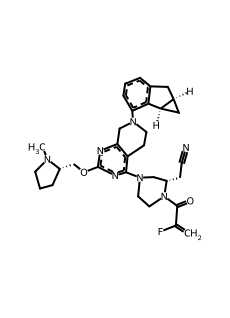 C=C(F)C(=O)N1CCN(c2nc(OC[C@@H]3CCCN3C)nc3c2CCN(c2cccc4c2[C@@H]2C[C@@H]2C4)C3)C[C@@H]1CC#N